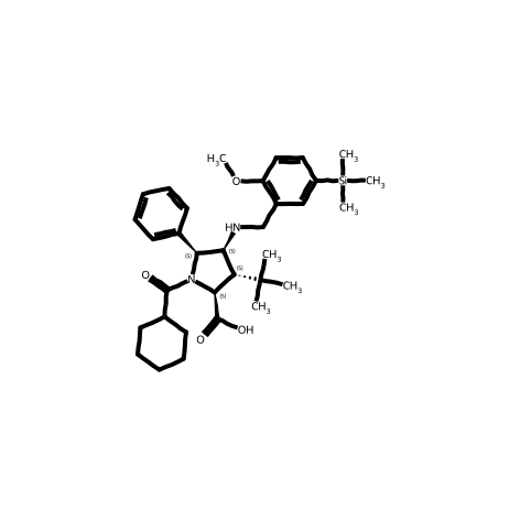 COc1ccc([Si](C)(C)C)cc1CN[C@H]1[C@H](C(C)(C)C)[C@@H](C(=O)O)N(C(=O)C2CCCCC2)[C@H]1c1ccccc1